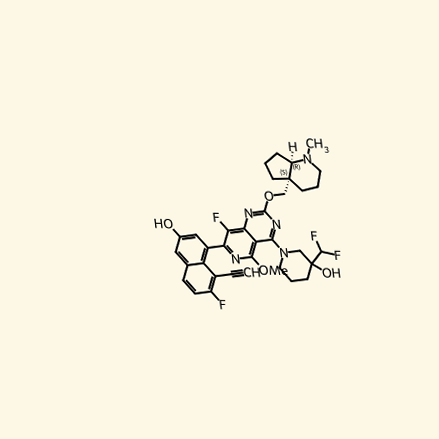 C#Cc1c(F)ccc2cc(O)cc(-c3nc(OC)c4c(N5CCCC(O)(C(F)F)C5)nc(OC[C@]56CCC[C@H]5N(C)CCC6)nc4c3F)c12